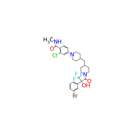 CNC(=O)c1ccc(N2CCC(CC3CCN(C(=O)C(O)(c4cccc(Br)c4)C(F)(F)F)CC3)CC2)cc1Cl